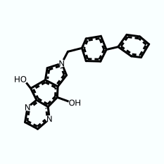 Oc1c2cn(Cc3ccc(-c4ccccc4)cc3)cc2c(O)c2nccnc12